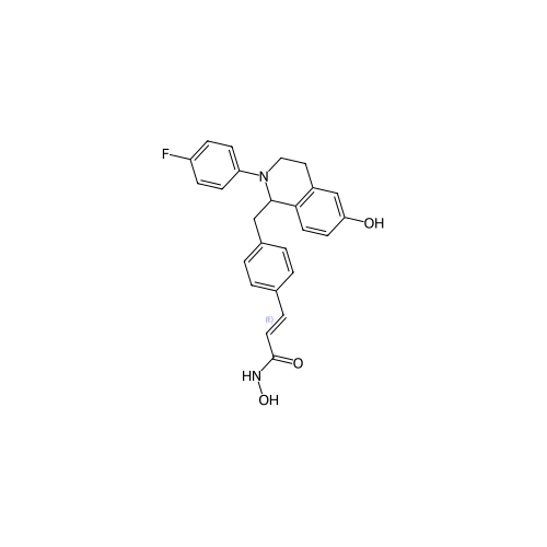 O=C(/C=C/c1ccc(CC2c3ccc(O)cc3CCN2c2ccc(F)cc2)cc1)NO